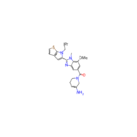 COc1cc(C(=O)N2CCC=C(N)C2)cc2nc(-c3cc4ccsc4n3CC(C)C)n(C)c12